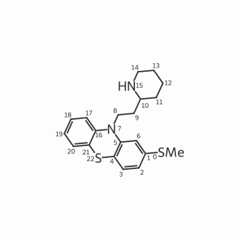 CSc1ccc2c(c1)N(CCC1CCCCN1)c1ccccc1S2